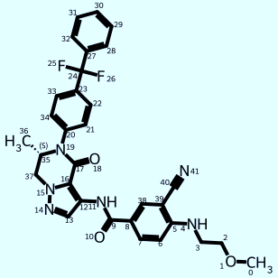 COCCNc1ccc(C(=O)Nc2cnn3c2C(=O)N(c2ccc(C(F)(F)c4ccccc4)cc2)[C@@H](C)C3)cc1C#N